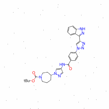 CC(C)(C)OC(=O)N1CCCC(n2cc(NC(=O)c3ccc(-n4cc(-c5n[nH]c6ccccc56)nn4)cc3)cn2)CC1